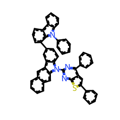 c1ccc(-c2cc3c(-c4ccccc4)nc(-n4c5ccc(-c6cccc7c8ccccc8n(-c8ccccc8)c67)cc5c5cc6ccccc6cc54)nc3s2)cc1